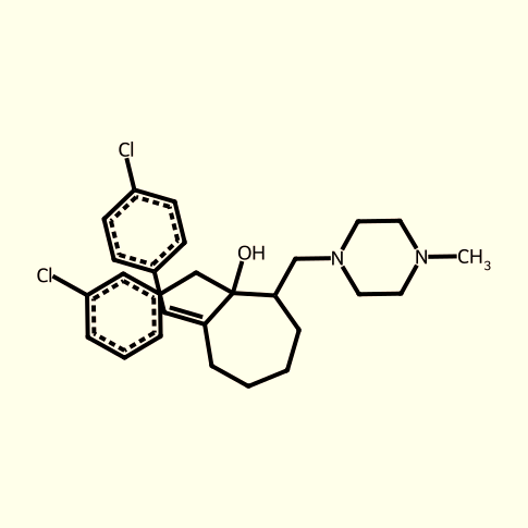 CN1CCN(CC2CCCCC(=Cc3ccc(Cl)cc3)C2(O)Cc2cccc(Cl)c2)CC1